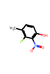 Cc1ccc(O)c([N+](=O)[O-])c1F